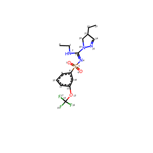 CCN/C(=N\S(=O)(=O)c1cccc(OC(F)(F)F)c1)N1CC(CC)C=N1